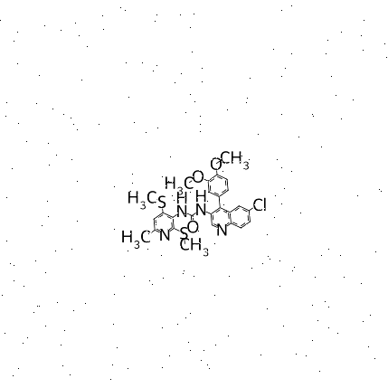 COc1ccc(-c2c(NC(=O)Nc3c(SC)cc(C)nc3SC)cnc3ccc(Cl)cc23)cc1OC